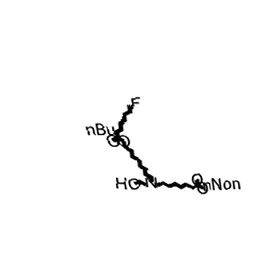 CCCCCCCCCOC(=O)CCCCCCCN(CCO)CCCCCCCCOC(=O)C(CCCC)CCCCCCF